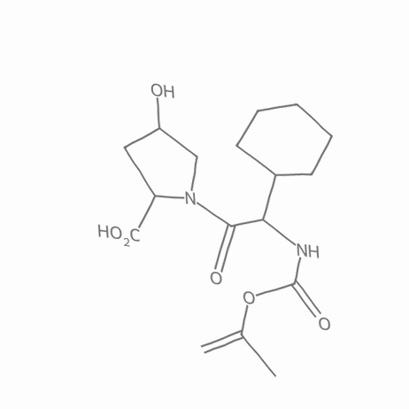 C=C(C)OC(=O)NC(C(=O)N1CC(O)CC1C(=O)O)C1CCCCC1